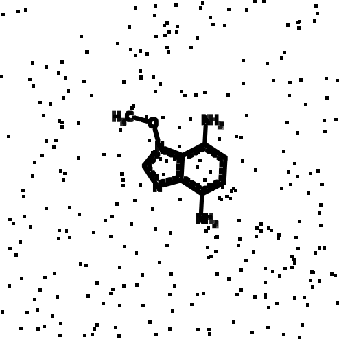 COn1cnc2c(N)ccc(N)c21